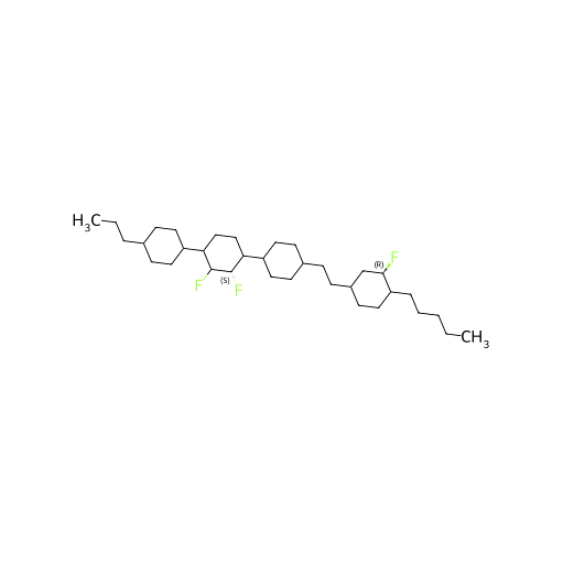 CCCCCC1CCC(CCC2CCC(C3CCC(C4CCC(CCC)CC4)C(F)[C@H]3F)CC2)C[C@H]1F